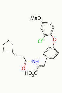 COc1ccc(Oc2ccc(C=C(NC(=O)CCC3CCCC3)C(=O)O)cc2)c(Cl)c1